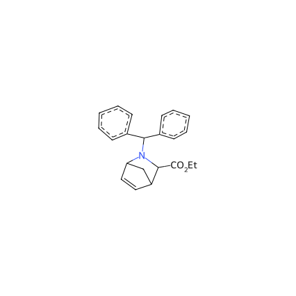 CCOC(=O)C1C2C=CC(C2)N1C(c1ccccc1)c1ccccc1